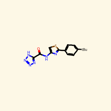 CC(C)(C)c1ccc(-c2nc(NC(=O)c3nnn[nH]3)cs2)cc1